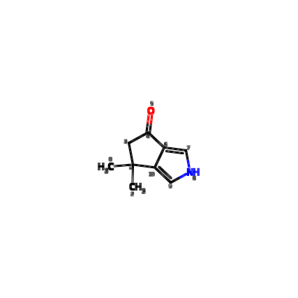 CC1(C)CC(=O)c2c[nH]cc21